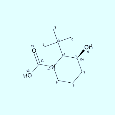 CC(C)(C)C1[C@@H](O)CCCN1C(=O)O